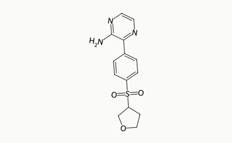 Nc1nccnc1-c1ccc(S(=O)(=O)C2CCOC2)cc1